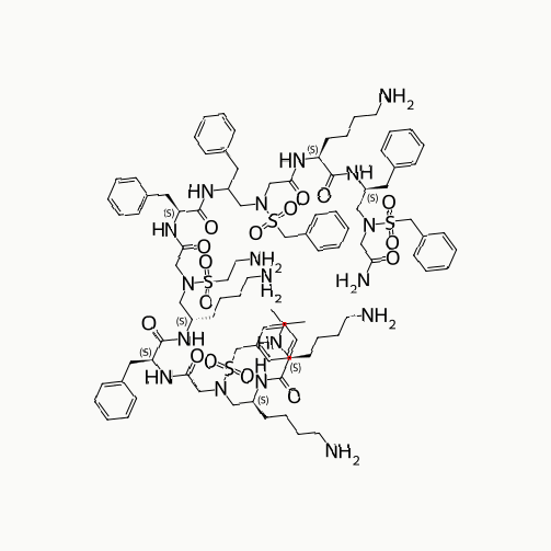 CC(C)N[C@@H](CCCCN)C(=O)N[C@@H](CCCCN)CN(CC(=O)N[C@@H](Cc1ccccc1)C(=O)N[C@@H](CCCCN)CN(CC(=O)N[C@@H](Cc1ccccc1)C(=O)NC(Cc1ccccc1)CN(CC(=O)N[C@@H](CCCCN)C(=O)N[C@@H](Cc1ccccc1)CN(CC(N)=O)S(=O)(=O)Cc1ccccc1)S(=O)(=O)Cc1ccccc1)S(=O)(=O)CCN)S(=O)(=O)Cc1ccccc1